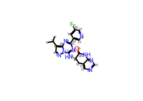 CC(C)c1cnn2c(N[C@H]3Cc4cncnc4NC3=O)nc(-c3cncc(F)c3)nc12